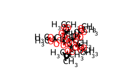 Cc1cc(C)c(OC(=O)C(C)(COC(=O)C(C)(COC(=O)C2(C)COC(C)(C)OC2)COC(=O)C2(C)COC(C)(C)OC2)COC(=O)C(C)(COC(=O)C2(C)COC(C)(C)OC2)COC(=O)C2(C)COC(C)(C)OC2)c(C)c1